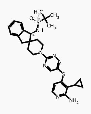 CC(C)(C)[S@@+]([O-])N[C@@H]1c2ccccc2CC12CCN(c1ncc(Sc3ccnc(N)c3C3CC3)nn1)CC2